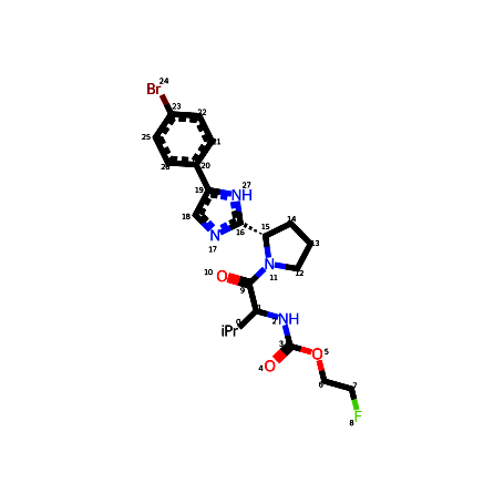 CC(C)C(NC(=O)OCCF)C(=O)N1CCC[C@H]1c1ncc(-c2ccc(Br)cc2)[nH]1